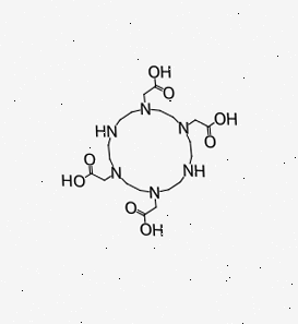 O=C(O)CN1CCNCCN(CC(=O)O)CCN(CC(=O)O)CCNCCN(CC(=O)O)CC1